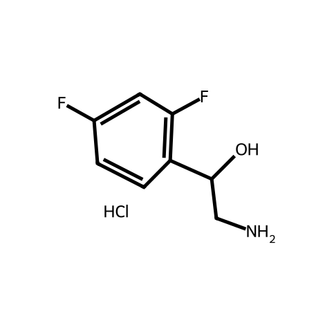 Cl.NCC(O)c1ccc(F)cc1F